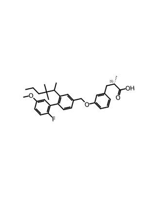 CCCC(C)(C)C(C)c1cc(COc2cccc(C[C@H](C)C(=O)O)c2)ccc1-c1cc(OC)ccc1F